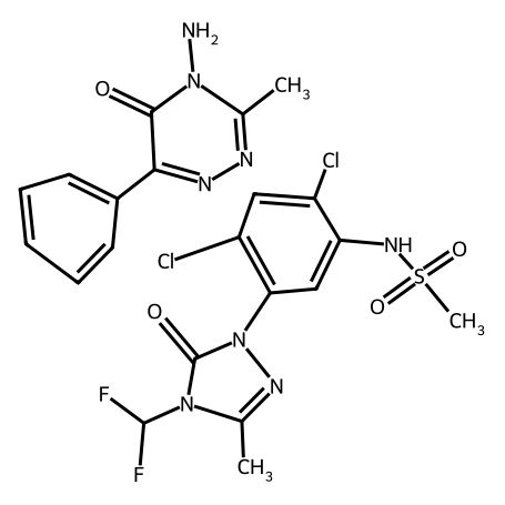 Cc1nn(-c2cc(NS(C)(=O)=O)c(Cl)cc2Cl)c(=O)n1C(F)F.Cc1nnc(-c2ccccc2)c(=O)n1N